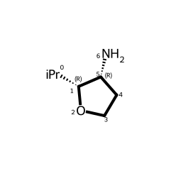 CC(C)[C@H]1OCC[C@H]1N